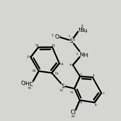 CC(C)(C)[S+]([O-])NCc1cccc(Cl)c1Sc1ccccc1C=O